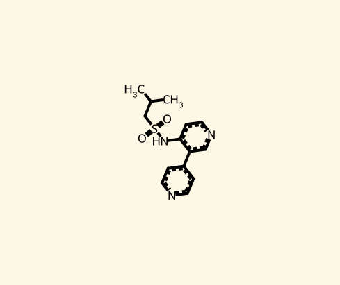 CC(C)CS(=O)(=O)Nc1ccncc1-c1ccncc1